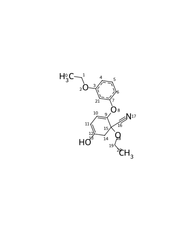 CCOc1cccc(OC2=CC=C(O)CC2(C#N)OCC)c1